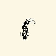 O=C(NC1COC1)c1ccc2cc(Oc3ccc(C(F)(F)F)nc3)ccc2n1